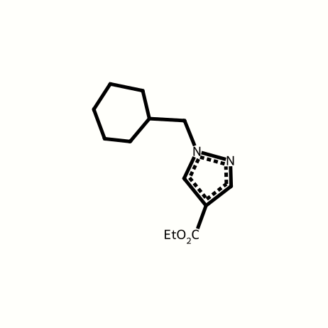 CCOC(=O)c1cnn(CC2CCCCC2)c1